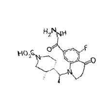 C[C@@H]1CN(C(=O)O)CC[C@@H]1[C@H](C)N1CCC(=O)c2c(F)cc(C(=O)NN)cc21